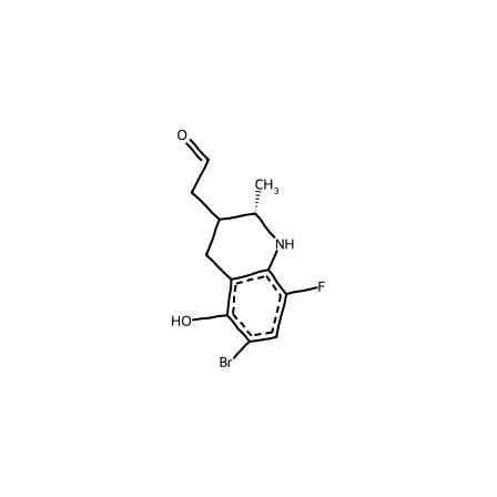 C[C@@H]1Nc2c(F)cc(Br)c(O)c2CC1CC=O